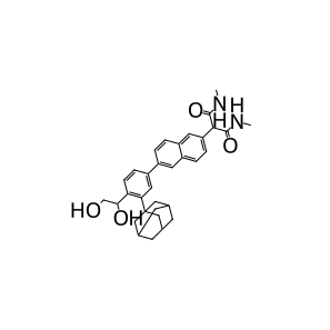 CNC(=O)C(C(=O)NC)c1ccc2cc(-c3ccc(C(O)CO)c(C45CC6CC(CC(C6)C4)C5)c3)ccc2c1